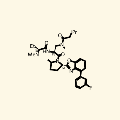 CC[C@H](NC)C(=O)N[C@@H](CN(C)C(=O)CC(C)C)C(=O)N1C(C)CC[C@H]1c1nc2c(-c3cccc(F)c3)cccc2o1